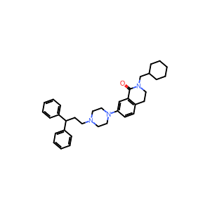 O=C1c2cc(N3CCN(CCC(c4ccccc4)c4ccccc4)CC3)ccc2CCN1CC1CCCCC1